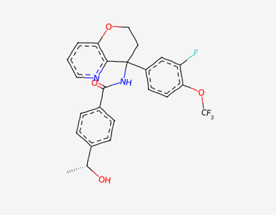 C[C@@H](O)c1ccc(C(=O)NC2(c3ccc(OC(F)(F)F)c(F)c3)CCOc3cccnc32)cc1